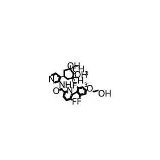 C[C@H]1C[C@@H](c2ccncc2NC(=O)c2ccc(F)c(-c3c(F)cc(OCCO)cc3F)n2)C[C@@H](O)[C@]1(C)O